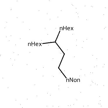 CCCCCCCCCCC[C](CCCCCC)CCCCCC